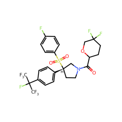 O=C(C1CCC(F)(F)CO1)N1CC[C@](c2ccc(C(F)(C(F)(F)F)C(F)(F)F)cc2)(S(=O)(=O)c2ccc(F)cc2)C1